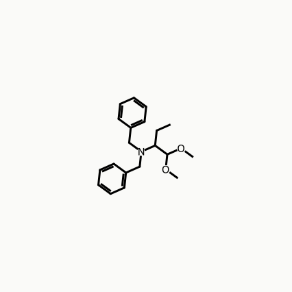 CCC(C(OC)OC)N(Cc1ccccc1)Cc1ccccc1